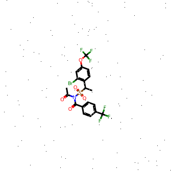 CC(=O)N(C(=O)c1ccc(C(F)(F)F)cc1)S(=O)(=O)C(C)c1ccc(OC(F)(F)F)cc1Br